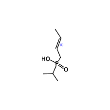 C/C=C/CP(=O)(O)C(C)C